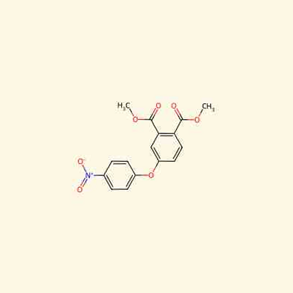 COC(=O)c1ccc(Oc2ccc([N+](=O)[O-])cc2)cc1C(=O)OC